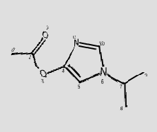 CC(=O)Oc1cn(C(C)C)cn1